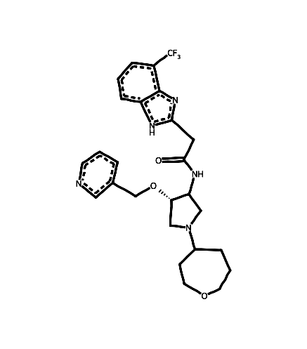 O=C(Cc1nc2c(C(F)(F)F)cccc2[nH]1)NC1CN(C2CCCOCC2)C[C@@H]1OCc1cccnc1